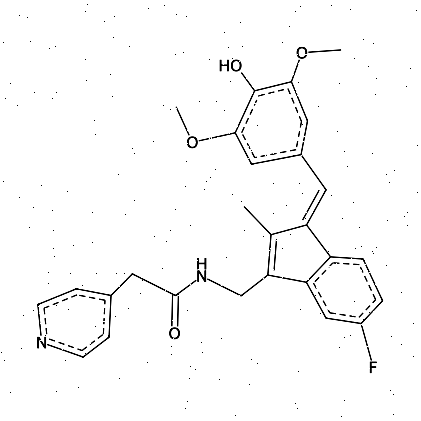 COc1cc(C=C2C(C)=C(CNC(=O)Cc3ccncc3)c3cc(F)ccc32)cc(OC)c1O